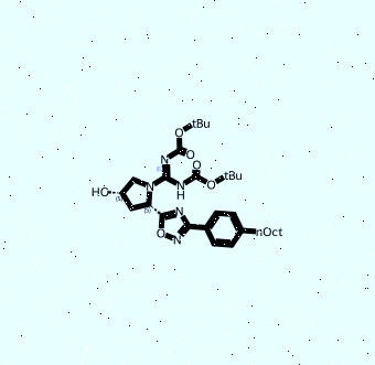 CCCCCCCCc1ccc(-c2noc([C@@H]3C[C@H](O)CN3/C(=N/C(=O)OC(C)(C)C)NC(=O)OC(C)(C)C)n2)cc1